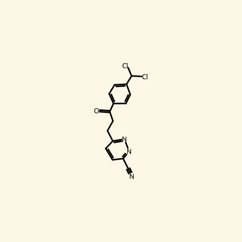 N#Cc1ccc(CCC(=O)c2ccc(C(Cl)Cl)cc2)nn1